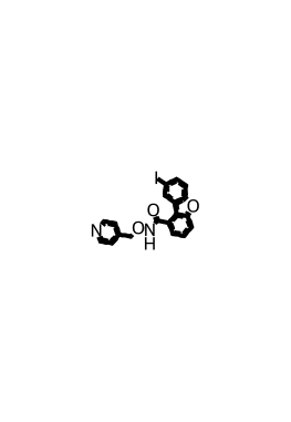 O=C(NOCc1ccncc1)c1cccc2oc3ccc(I)cc3c12